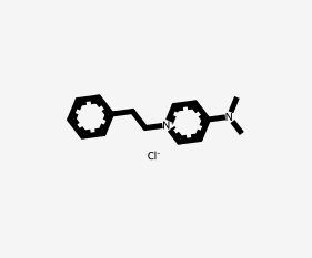 CN(C)c1cc[n+](CCc2ccccc2)cc1.[Cl-]